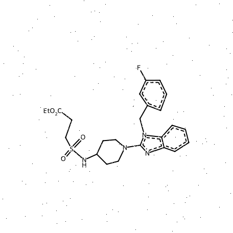 CCOC(=O)CCS(=O)(=O)NC1CCN(c2nc3ccccc3n2Cc2cccc(F)c2)CC1